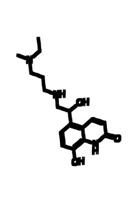 CCN(C)CCCNCC(O)c1ccc(O)c2[nH]c(=O)ccc12